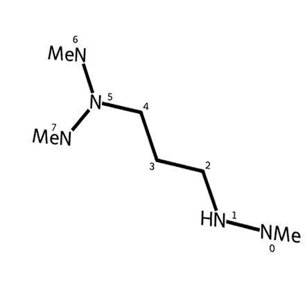 CNNCCCN(NC)NC